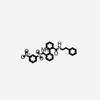 NC(c1ccccc1-c1ccccc1C(=O)NCCc1ccccc1)S(=O)(=O)c1cccc([N+](=O)[O-])c1